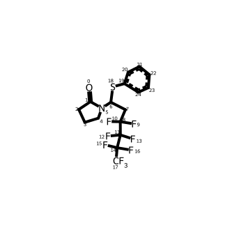 O=C1CCCN1C(CC(F)(F)C(F)(F)C(F)(F)C(F)(F)F)Sc1ccccc1